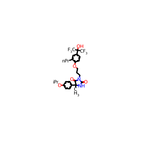 CCCc1cc(C(O)(C(F)(F)F)C(F)(F)F)ccc1OCCCN1C(=O)NC(C)(c2ccc(OC(C)C)cc2)C1=O